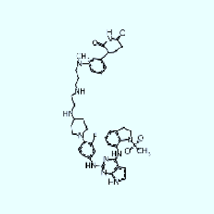 CN(CCCNCCNC1CCN(c2ccc(Nc3nc(Nc4cccc5c4N(S(C)(=O)=O)CC5)c4cc[nH]c4n3)cc2F)CC1)c1cccc(C2CCC(=O)NC2=O)c1